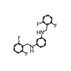 Fc1cccc(F)c1CNc1cccc(NCc2c(F)cccc2F)c1